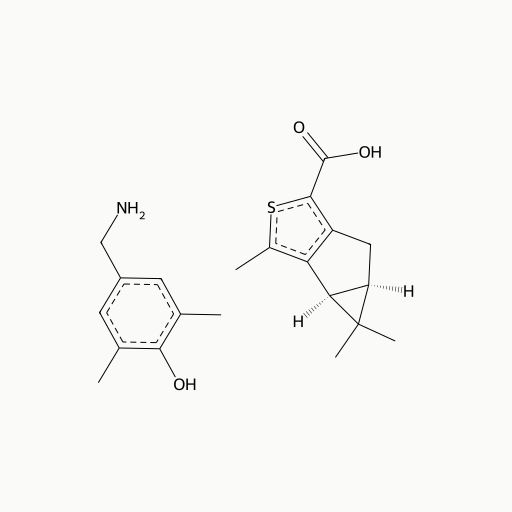 Cc1cc(CN)cc(C)c1O.Cc1sc(C(=O)O)c2c1[C@H]1[C@@H](C2)C1(C)C